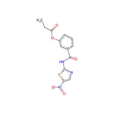 CCC(=O)Oc1cccc(C(=O)Nc2ncc([N+](=O)[O-])s2)c1